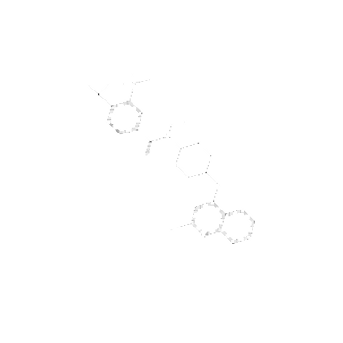 CN(C)c1cc(C(=O)N(C)C2CCC(Nc3cc(C(C)(C)C)nc4ccccc34)CC2)ccc1C(C)(C)F